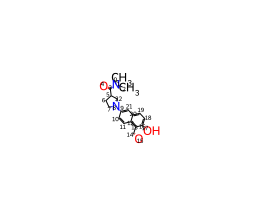 CN(C)C(=O)C1CCN(c2ccc3c(C=O)c(O)ccc3c2)C1